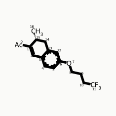 CC(=O)C1=Cc2ccc(OCCCC(F)(F)F)cc2C[C@H]1C